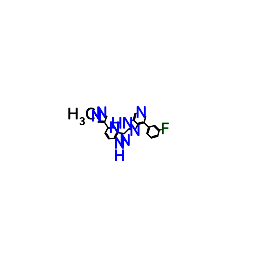 Cn1cc(-c2ccc3[nH]nc(-c4nc5c(-c6cccc(F)c6)cncc5[nH]4)c3n2)cn1